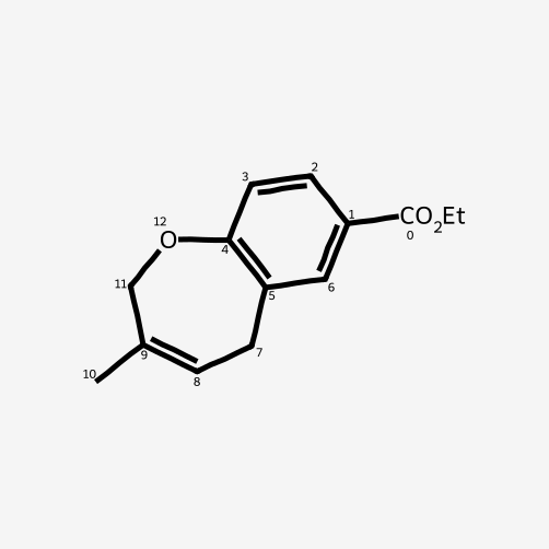 CCOC(=O)c1ccc2c(c1)CC=C(C)CO2